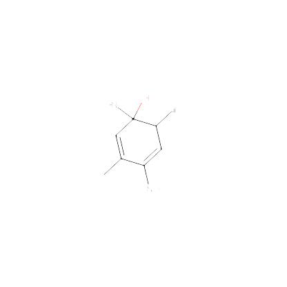 CC1=CC(O)(N=O)C(C(C)C)C=C1N=O